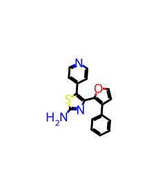 Nc1nc(-c2occc2-c2ccccc2)c(-c2ccncc2)s1